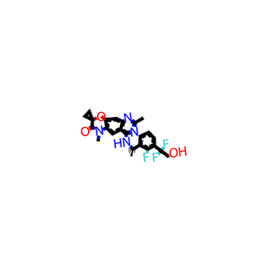 Cc1nc(N[C@H](C)c2cccc(C(F)(F)CO)c2F)c2cc3c(cc2n1)OC1(CC1)C(=O)N3C